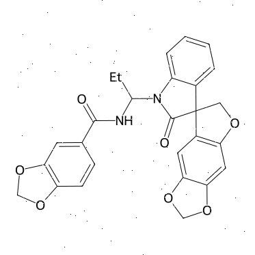 CCC(NC(=O)c1ccc2c(c1)OCO2)N1C(=O)C2(COc3cc4c(cc32)OCO4)c2ccccc21